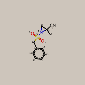 CC1(C#N)CN1S(=O)(=O)Cc1ccccc1